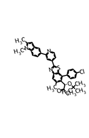 CC(=O)[C@@H](OC(C)(C)C)c1c(C)cc2nc(-c3ccnc(-c4ccc5c(c4)cc(C)n5C)c3)sc2c1-c1ccc(Cl)cc1